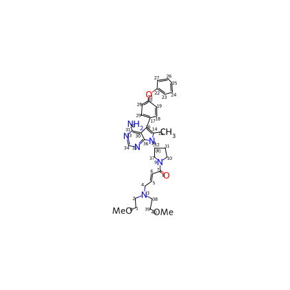 COCCN(CC=CC(=O)N1CC[C@@H](n2c(C)c(-c3ccc(Oc4ccccc4)cc3)c3c(N)ncnc32)C1)CCOC